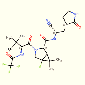 CC(C)(C)[C@H](NC(=O)C(F)(F)F)C(=O)N1CC2(F)C([C@H]1C(=O)N[C@H](C#N)C[C@@H]1CCNC1=O)C2(C)C